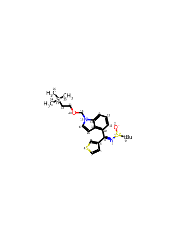 CC(C)(C)[S+]([O-])/N=C(/c1ccsc1)c1cccc2c1ccn2COCC[Si](C)(C)C